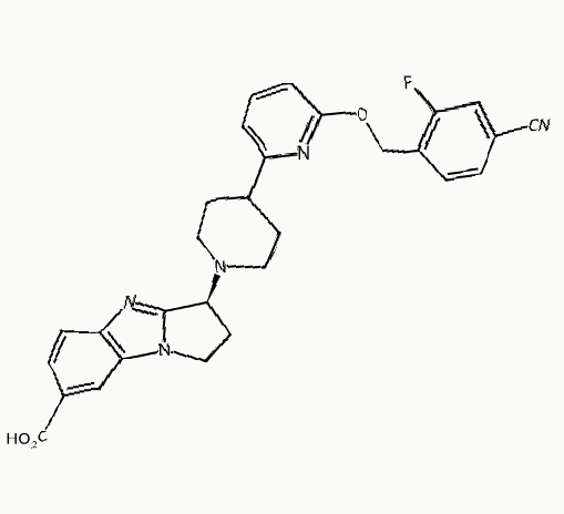 N#Cc1ccc(COc2cccc(C3CCN([C@H]4CCn5c4nc4ccc(C(=O)O)cc45)CC3)n2)c(F)c1